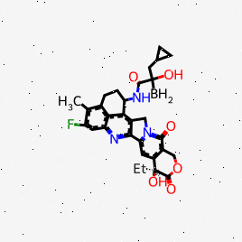 BC(O)(CC1CC1)C(=O)NC1CCc2c(C)c(F)cc3nc4c(c1c23)Cn1c-4cc2c(c1=O)COC(=O)[C@]2(O)CC